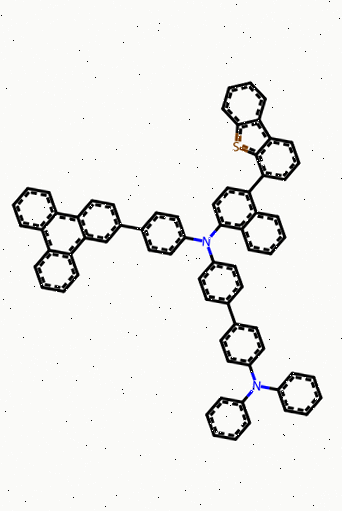 c1ccc(N(c2ccccc2)c2ccc(-c3ccc(N(c4ccc(-c5ccc6c7ccccc7c7ccccc7c6c5)cc4)c4ccc(-c5cccc6c5sc5ccccc56)c5ccccc45)cc3)cc2)cc1